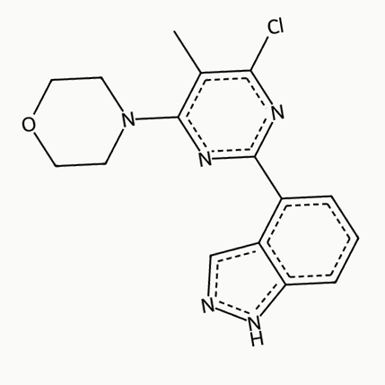 Cc1c(Cl)nc(-c2cccc3[nH]ncc23)nc1N1CCOCC1